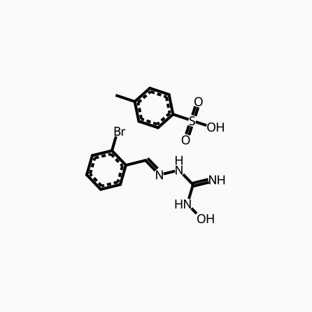 Cc1ccc(S(=O)(=O)O)cc1.N=C(NO)N/N=C/c1ccccc1Br